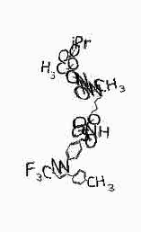 Cc1ccc(-c2cc(C(F)(F)F)nn2-c2ccc(S(=O)(=O)NC(=O)OCCCCN(C)/[N+]([O-])=N/OC(C)OC(=O)OC(C)C)cc2)cc1